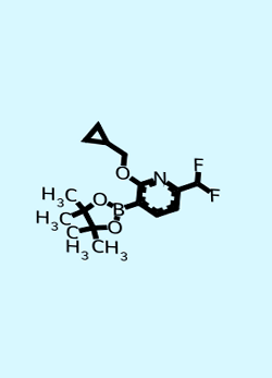 CC1(C)OB(c2ccc(C(F)F)nc2OCC2CC2)OC1(C)C